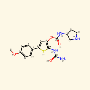 COc1ccc(-c2cc(OC(=O)NC3CCNC3)c(NC(N)=O)s2)cc1